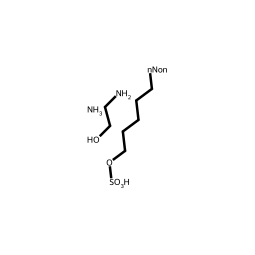 CCCCCCCCCCCCCCOS(=O)(=O)O.N.NCCO